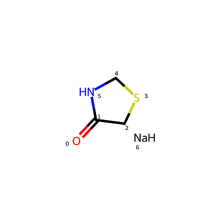 O=C1CSCN1.[NaH]